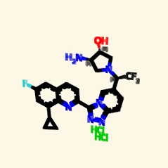 Cl.Cl.N[C@@H]1CN([C@H](c2ccc3nnc(-c4ccc5cc(F)cc(C6CC6)c5n4)n3c2)C(F)(F)F)C[C@H]1O